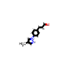 Cc1cnn(-c2ccc(C=CC=O)cc2)c1